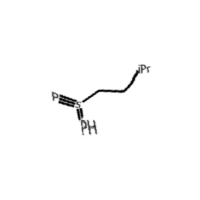 CC(C)CCS(#P)=P